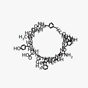 CCC[C@@H]1NC(=O)[C@H](Cc2c[nH]c3ncccc23)NC(=O)[C@H]([C@@H](C)O)NC(=O)[C@@H]2C[C@H](N)CN2C(=O)[C@H](Cc2ccc(O)cc2)NC(=O)[C@H](C(C)(C)C)NC(=O)CCSCc2cccc(c2)CSC[C@@H](C(N)=O)NC(=O)[C@H]([C@@H](C)O)NC(=O)[C@H](CCC)NC(=O)[C@H](CCc2ccc(O)cc2)NC(=O)[C@H](CCC(=O)O)NC1=O